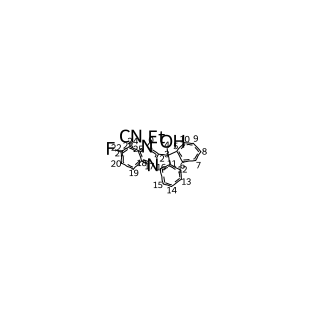 CCn1c(C(O)(c2ccccc2)c2ccccc2)nc2ccc(F)c(C#N)c21